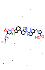 COc1nc(O[C@@H]2CCc3c(-c4cccc(Nc5nccc6cc(CN7CC[C@@H](C(=O)O)C7)cnc56)c4Cl)cccc32)c(Cl)cc1CN1CC[C@@H](O)C1